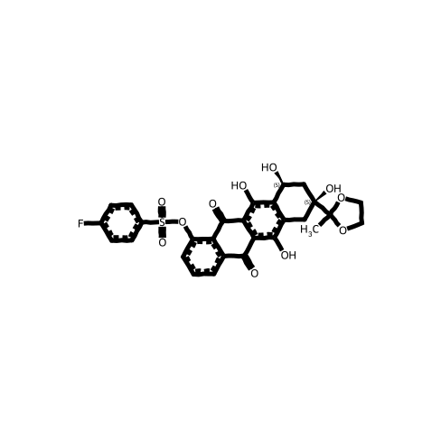 CC1([C@]2(O)Cc3c(O)c4c(c(O)c3[C@@H](O)C2)C(=O)c2c(OS(=O)(=O)c3ccc(F)cc3)cccc2C4=O)OCCO1